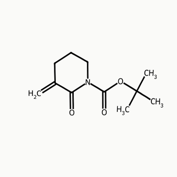 C=C1CCCN(C(=O)OC(C)(C)C)C1=O